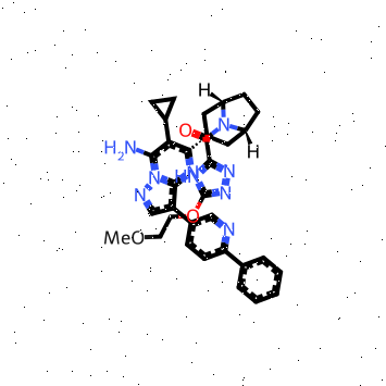 COCCOc1nnc(C(=O)N2[C@@H]3CC[C@H]2C[C@@H](c2nc4c(-c5ccc(-c6ccccc6)nc5)cnn4c(N)c2C2CC2)C3)[nH]1